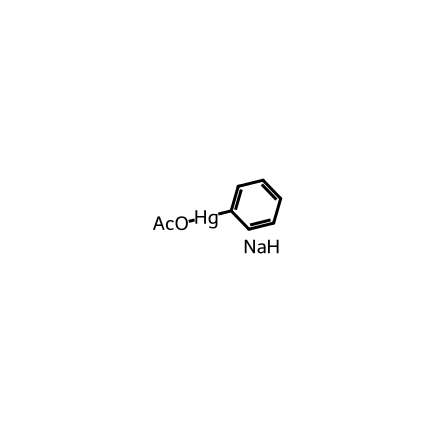 CC(=O)[O][Hg][c]1ccccc1.[NaH]